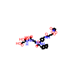 O=C(O)CC[C@H](NC(=O)N[C@@H](CCCCNC(=O)[C@H](Cc1ccc2ccccc2c1)NC(=O)C1CCC(CNC(=O)CCCC(=O)ON2C(=O)CCC2=O)CC1)C(=O)O)C(=O)O